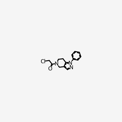 O=C(CCl)N1CCc2c(cnn2-c2ccccc2)C1